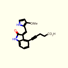 COc1cc[nH]c1/C=C1\C(=O)Nc2cccc(C#CCCC(=O)O)c21